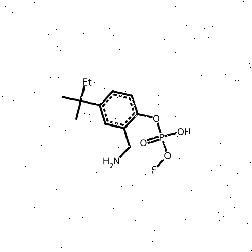 CCC(C)(C)c1ccc(OP(=O)(O)OF)c(CN)c1